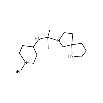 CC(C)N1CCC(NC(C)(C)N2CCC3(CCCN3)C2)CC1